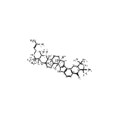 CC(C)=C[C@H]1O[C@H]2[C@H]3O[C@@]34C(CC[C@@]3(C)[C@@]4(O)CC[C@H]4Cc5c([nH]c6ccc7c(c56)CC5C(C7=O)C(C)(C)OC5(C)C)[C@@]43C)O[C@@H]2C(C)(C)O1